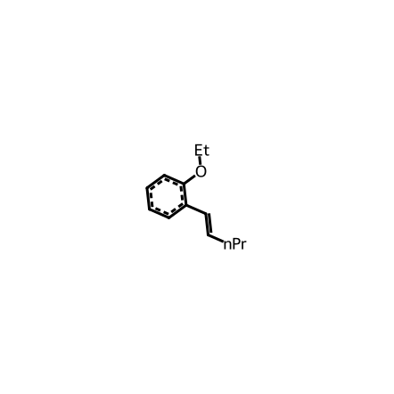 CCC/C=C/c1ccccc1OCC